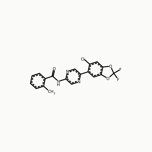 Cc1ccccc1C(=O)Nc1cnc(-c2cc3c(cc2Cl)OC(F)(F)O3)cn1